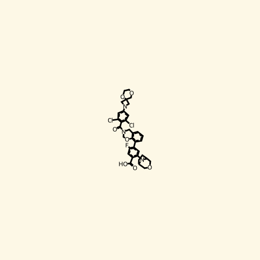 O=C(O)c1cc(F)c(-c2cccc3c2OCN(C(=O)c2c(Cl)cc(N4CC5(COCCO5)C4)cc2Cl)C3)cc1N1C2CCC1COC2